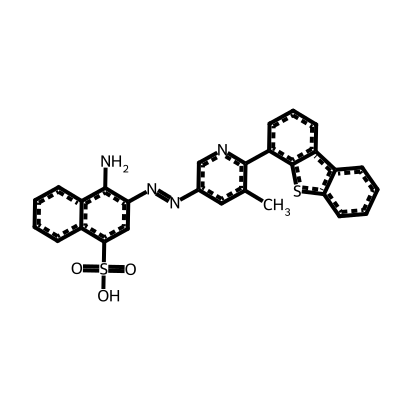 Cc1cc(N=Nc2cc(S(=O)(=O)O)c3ccccc3c2N)cnc1-c1cccc2c1sc1ccccc12